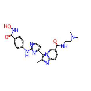 Cc1nc2ccc(C(=O)NCCN(C)C)cn2c1-c1ccnc(Nc2ccc(C(=O)NO)cc2)n1